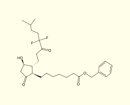 CC(C)CCC(F)(F)C(=O)CC[C@H]1[C@H](O)CC(=O)[C@@H]1CCCCCCC(=O)OCc1ccccc1